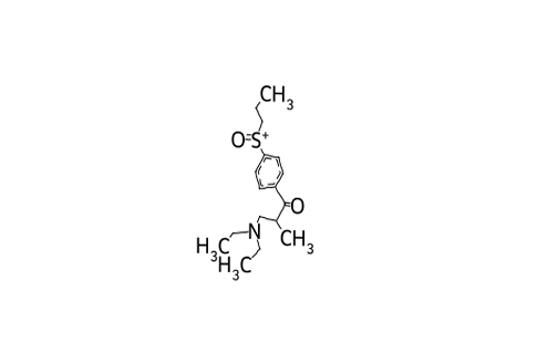 CCC[S+]([O-])c1ccc(C(=O)C(C)CN(CC)CC)cc1